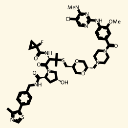 CNc1nc(Nc2ccc(C(=O)N3CCN(C[C@H]4CO[C@H](CSC(C)(C)[C@@H](NC(=O)C5(F)CC5)C(=O)N5C[C@H](O)C[C@H]5C(=O)NCc5ccc(-c6scnc6C)cc5)CO4)CC3)cc2OC)ncc1Cl